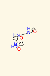 O=C(CCCCNCc1ccco1)Nc1cccc(-c2n[nH]c(=O)c3ccccc23)c1